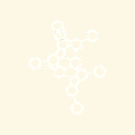 N#Cc1ccc(-n2c3ccc(-c4ccccc4)cc3c3cc(-c4ccccc4)ccc32)c(-c2cccc(-c3nc(-c4ccccc4)nc(-c4ccccc4)n3)c2-n2c3ccc(-c4ccccc4)cc3c3cc(-c4ccccc4)ccc32)c1